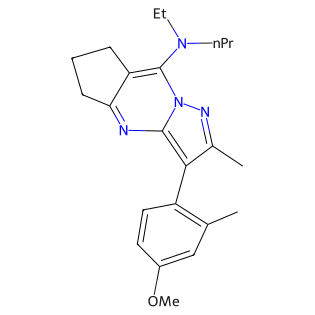 CCCN(CC)c1c2c(nc3c(-c4ccc(OC)cc4C)c(C)nn13)CCC2